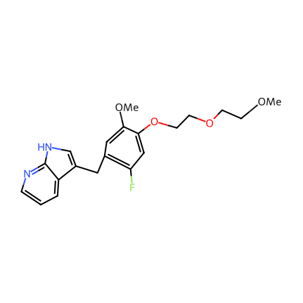 COCCOCCOc1cc(F)c(Cc2c[nH]c3ncccc23)cc1OC